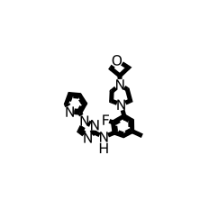 Cc1cc(Nc2ncn(-c3ccccn3)n2)c(F)c(N2CCN(C3COC3)CC2)c1